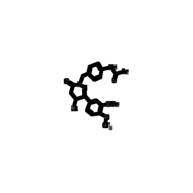 CCC1CC(=O)N(Cc2ccc(NC(=O)C(C)=O)cc2)N=C1c1ccc(OC(F)(F)F)c(OC)c1